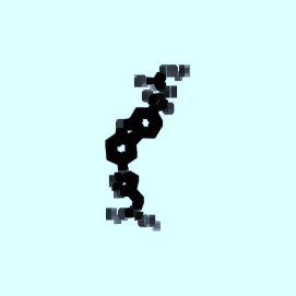 CC(C)[C@H](NS(=O)(=O)c1ccc2c(c1)oc1ccc(-n3cc(CN(C)C)nn3)cc12)C(=O)O